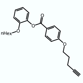 C#CCCCOc1ccc(C(=O)Oc2ccccc2OCCCCCC)cc1